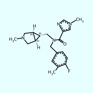 Cc1cc(CN(C[C@H]2[C@@H]3CN(C)C[C@@H]32)C(=O)c2cn(C)cn2)ccc1F